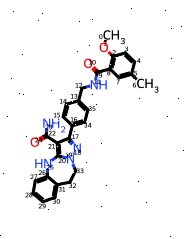 COc1ccc(C)cc1C(=O)NCc1ccc(-c2nn3c(c2C(N)=O)Nc2ccccc2CC3)cc1